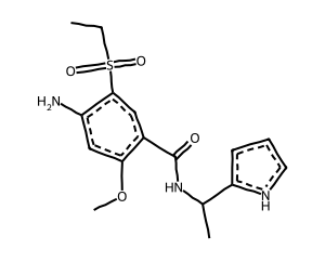 CCS(=O)(=O)c1cc(C(=O)NC(C)c2ccc[nH]2)c(OC)cc1N